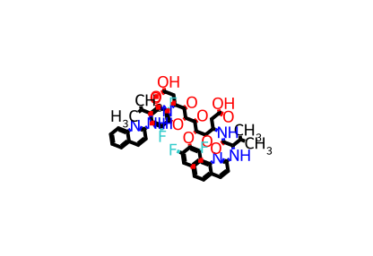 CC(C)C(Nc1ccc2ccccc2n1)C(=O)NC(CC(=O)O)C(=O)C(Oc1c(F)cccc1F)C(=O)C(Oc1c(F)cccc1F)C(=O)C(CC(=O)O)NC(=O)C(Nc1ccc2ccccc2n1)C(C)C